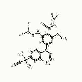 COc1cc(N(C=N)c2ccc(C(C)(C)C#N)cc2C)cc(OCC(F)F)c1C(=O)NC1CC1